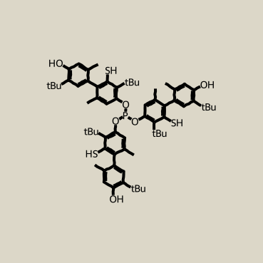 Cc1cc(O)c(C(C)(C)C)cc1-c1c(C)cc(OP(Oc2cc(C)c(-c3cc(C(C)(C)C)c(O)cc3C)c(S)c2C(C)(C)C)Oc2cc(C)c(-c3cc(C(C)(C)C)c(O)cc3C)c(S)c2C(C)(C)C)c(C(C)(C)C)c1S